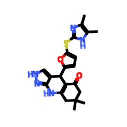 Cc1nc(Sc2ccc(C3C4=C(CC(C)(C)CC4=O)Nc4n[nH]cc43)o2)[nH]c1C